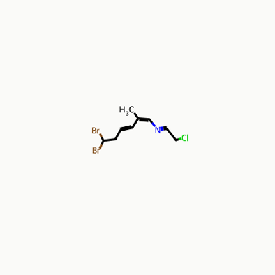 C/C(C=CCC(Br)Br)=C/N=C/CCl